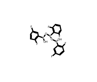 OB(OB(OB(O)c1cc(F)ccc1F)c1c(F)cccc1F)c1cc(F)ccc1F